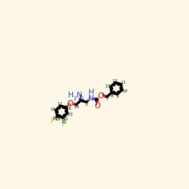 NC(CNC(=O)OCc1ccccc1)COc1ccc(F)c(F)c1